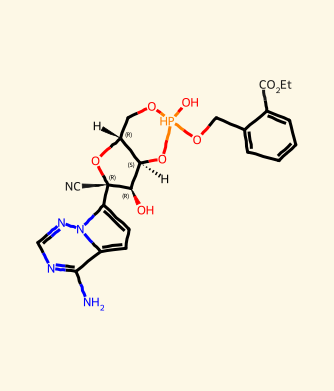 CCOC(=O)c1ccccc1CO[PH]1(O)OC[C@H]2O[C@@](C#N)(c3ccc4c(N)ncnn34)[C@H](O)[C@@H]2O1